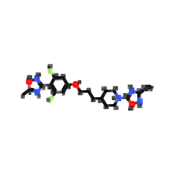 Cc1nc(-c2c(F)cc(OCCCC3CCN(c4nc(C(C)C)no4)CC3)cc2F)no1